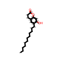 CCCCCCCCCCCCc1cc2c(cc1O)OC(=O)CC2